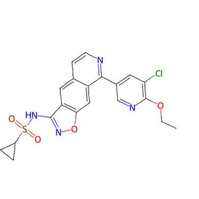 CCOc1ncc(-c2nccc3cc4c(NS(=O)(=O)C5CC5)noc4cc23)cc1Cl